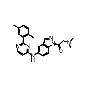 Cc1ccc(C)c(-c2nccc(Nc3ccc4c(cnn4C(=O)CN(C)C)c3)n2)c1